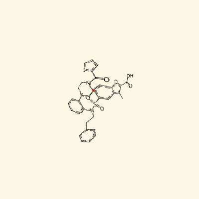 Cc1c(C(=O)O)oc2ccc(S(=O)(=O)N(CCc3ccccc3)c3ccccc3N3CCN(C(=O)c4cccs4)CC3)cc12